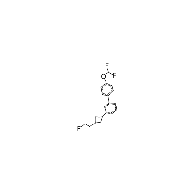 FCCC1CC(c2cccc(-c3ccc(OC(F)F)cc3)c2)C1